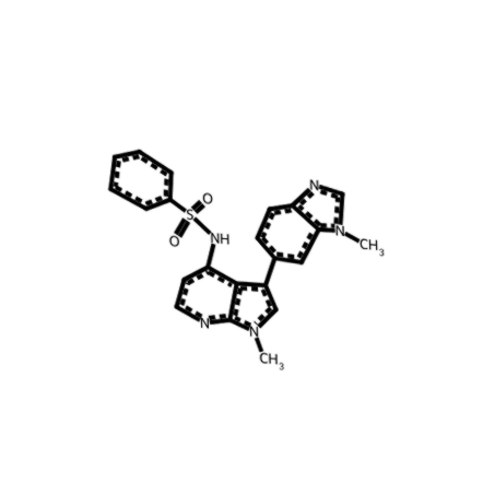 Cn1cnc2ccc(-c3cn(C)c4nccc(NS(=O)(=O)c5ccccc5)c34)cc21